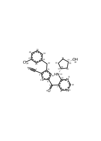 N#Cc1sc(C(=O)c2cncnc2N[C@@H]2C[CH][C@H](O)C2)cc1Cc1cccc(Cl)c1